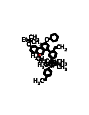 C=Cc1ccc([Si](C)(C[Si](C)(C)C)[Si](C)(C)c2ccc(C=C)c(-c3cc(OC4CCCCC4)cc(-c4cc(OC(C)(C)CC)ccc4C=C)c3C=C)c2)cc1